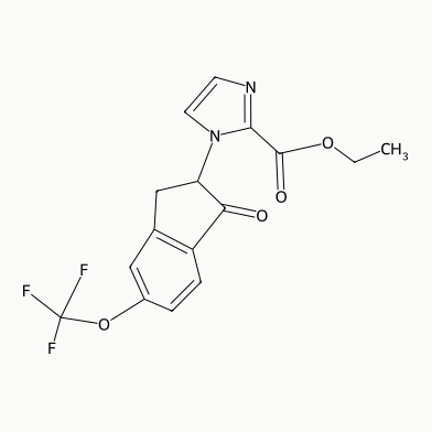 CCOC(=O)c1nccn1C1Cc2cc(OC(F)(F)F)ccc2C1=O